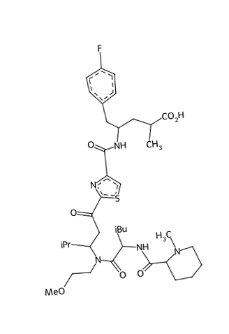 CCC(C)C(NC(=O)C1CCCCN1C)C(=O)N(CCOC)C(CC(=O)c1nc(C(=O)NC(Cc2ccc(F)cc2)CC(C)C(=O)O)cs1)C(C)C